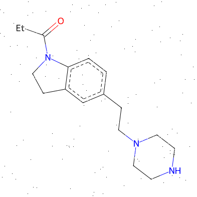 CCC(=O)N1CCc2cc(CCN3CCNCC3)ccc21